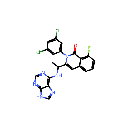 CC(Nc1ncnc2[nH]cnc12)c1cc2cccc(F)c2c(=O)n1-c1cc(Cl)cc(Cl)c1